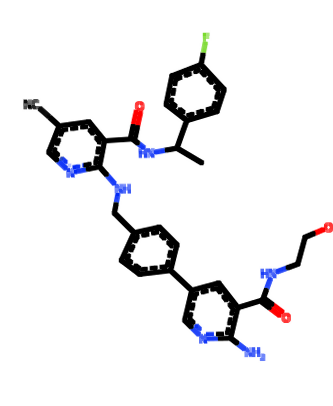 CC(NC(=O)c1cc(C#N)cnc1NCc1ccc(-c2cnc(N)c(C(=O)NCCO)c2)cc1)c1ccc(F)cc1